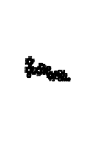 COC(=O)C(C)(C)Sc1cccc(NC(=O)C(c2ccc(CN3N=C(c4ccccc4)CCC3=O)cc2)C(C)C)c1